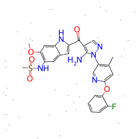 COc1cc2[nH]c(C(=O)c3cnn(-c4cnc(Oc5ccccc5F)cc4C)c3N)cc2cc1NS(C)(=O)=O